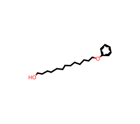 OCCCCCCCCCCCCCOc1ccccc1